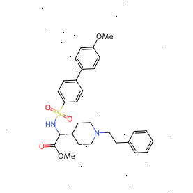 COC(=O)C(NS(=O)(=O)c1ccc(-c2ccc(OC)cc2)cc1)C1CCN(CCc2ccccc2)CC1